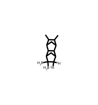 [2H]C1([2H])C2CC(C3C4CC(C(C)C4C)C32)C1(B)B